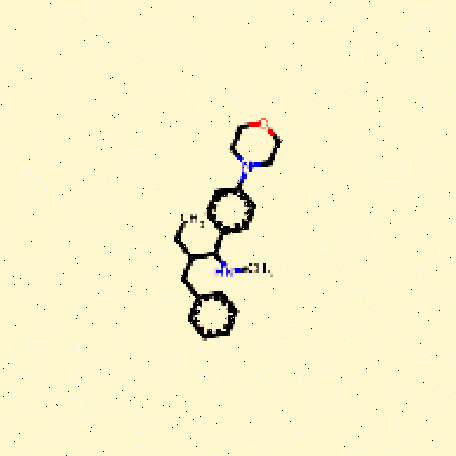 CCC(Cc1ccccc1)C(NC)c1ccc(N2CCOCC2)cc1